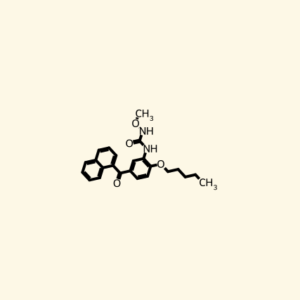 CCCCCOc1ccc(C(=O)c2cccc3ccccc23)cc1NC(=O)NOC